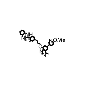 COc1ccc(-c2cc(OCCCc3ccc(C(=O)Nc4ccccc4N)cc3)c3ncnc(C)c3c2)cn1